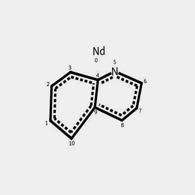 [Nd].c1ccc2ncccc2c1